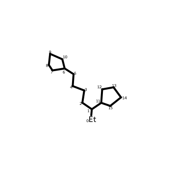 [CH2]CC(CCCCC1CCCC1)C1CCCC1